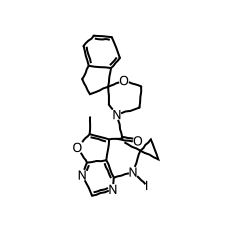 Cc1oc2ncnc(N(I)C3(C)CC3)c2c1C(=O)N1CCOC2(CCc3ccccc32)C1